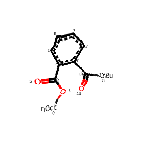 CCCCCCCCOC(=O)c1ccccc1C(=O)OCC(C)C